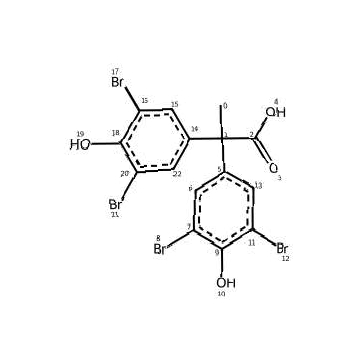 CC(C(=O)O)(c1cc(Br)c(O)c(Br)c1)c1cc(Br)c(O)c(Br)c1